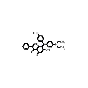 CCN(CC)c1ccc(/C(=C2\C(O)=CC(=O)c3c2occ(-c2ccccc2)c3=O)c2ccc(N)cc2)cc1